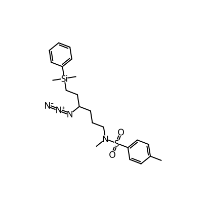 Cc1ccc(S(=O)(=O)N(C)CCCC(CC[Si](C)(C)c2ccccc2)N=[N+]=[N-])cc1